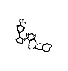 CC(=O)C(CC1CCOCC1)Nc1ncnc(N2CCCC2c2ccc(C(F)(F)F)cc2)c1F